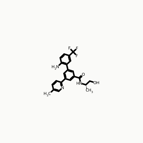 Cc1ccc(-c2cc(C(=O)N[C@@H](C)CO)cc(-c3cc(C(F)(F)F)ccc3N)c2)nc1